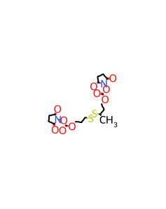 CC(CCOC(=O)ON1C(=O)CCC1=O)SSCCCOC(=O)ON1C(=O)CCC1=O